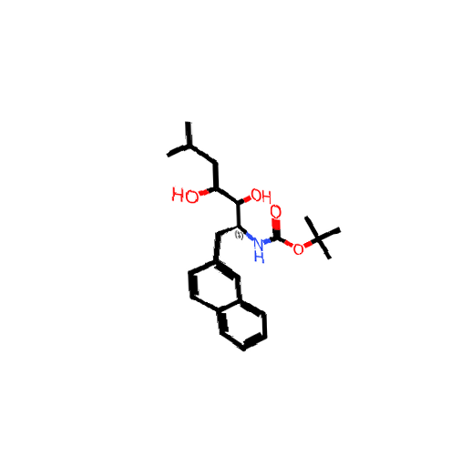 CC(C)CC(O)C(O)[C@H](Cc1ccc2ccccc2c1)NC(=O)OC(C)(C)C